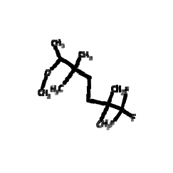 COC(C)C(C)(C)CCC(C)(C)C(F)(F)F